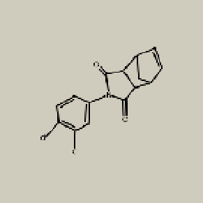 O=C1C2C3C=CC(C3)C2C(=O)N1c1ccc(Cl)c(Cl)c1